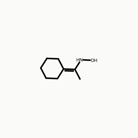 CC(NO)=C1CCCCC1